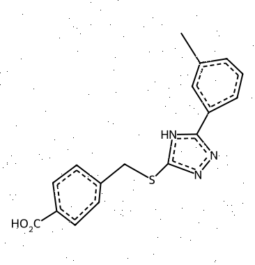 Cc1cccc(-c2nnc(SCc3ccc(C(=O)O)cc3)[nH]2)c1